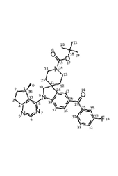 C[C@@H]1CCc2ncnc(N3CC4(CCN(C(=O)OC(C)(C)C)CC4)c4cc(C(=O)c5cccc(F)c5)ccc43)c21